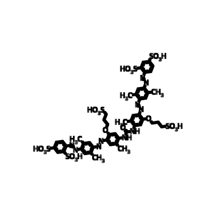 Cc1cc(N=Nc2ccc(S(=O)(=O)O)cc2S(=O)(=O)O)c(C)cc1N=Nc1cc(C)c(NC(=O)Nc2cc(OCCCS(=O)(=O)O)c(N=Nc3cc(C)c(N=Nc4ccc(S(=O)(=O)O)cc4S(=O)(=O)O)cc3C)cc2C)cc1OCCCS(=O)(=O)O